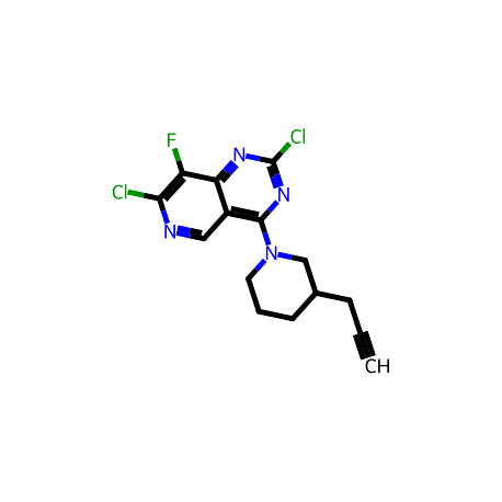 C#CCC1CCCN(c2nc(Cl)nc3c(F)c(Cl)ncc23)C1